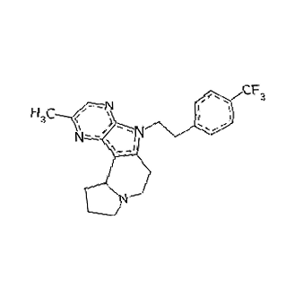 Cc1cnc2c(n1)c1c(n2CCc2ccc(C(F)(F)F)cc2)CCN2CCCC12